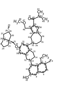 CCc1c(F)ccc2cc(O)cc(N3CCc4c(nc(OC[C@@]56CCCN5C[C@H](F)C6)nc4N4CCCn5nc(C(=O)N(C)C)c(COC)c5C4)C3)c12